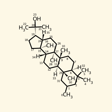 CC1CC(C)(C)[C@@H]2CC[C@]3(C)[C@H](CC[C@@H]4[C@@]5(C)CC[C@H](C(C)(C)O)[C@@H]5CC[C@]43C)[C@@]2(C)C1